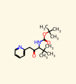 CC(C)(C)OC(=O)NC(C(=O)Cc1ccccn1)C(C)(C)C